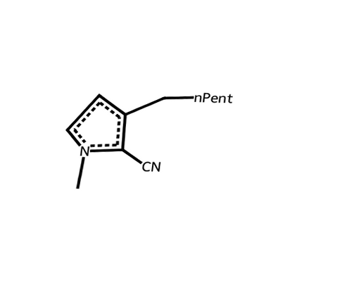 CCCCCCc1ccn(C)c1C#N